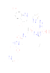 COc1ccc2c(OC3C[C@H]4C(=O)N[C@]5(C(=O)O)CC5/C=C\CCCCC[C@H](NC(=O)O[C@H](CN5CCCCC5=O)C(C)(C)C)C(=O)N4C3)cc(-c3csc(NC(C)C)n3)nc2c1